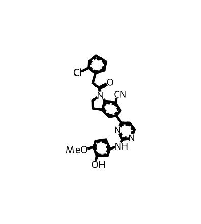 COc1ccc(Nc2nccc(-c3cc(C#N)c4c(c3)CCN4C(=O)Cc3ccccc3Cl)n2)cc1O